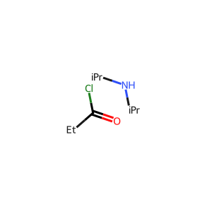 CC(C)NC(C)C.CCC(=O)Cl